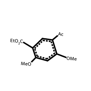 CCOC(=O)c1cc(C(C)=O)c(OC)cc1OC